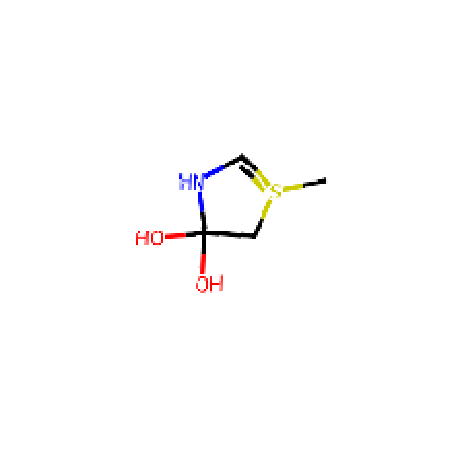 CS1=CNC(O)(O)C1